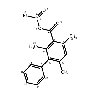 CC[PH](=O)OC(=O)c1c(C)cc(C)c(-c2ccccc2)c1C